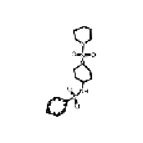 O=S(=O)(NC1CCN(S(=O)(=O)N2CCCCC2)CC1)c1ccccc1